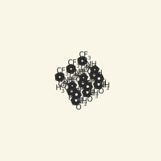 C[C@]12C=CC(=O)N[C@@H]1CC[C@@H]1[C@@H]2CC[C@]2(C)[C@@H](C(=O)Nc3cc(C(F)(F)F)ccc3C(F)(F)F)CC[C@@H]12.C[C@]12C=CC(=O)N[C@@H]1CC[C@@H]1[C@@H]2CC[C@]2(C)[C@@H](C(=O)Nc3cc(C(F)(F)F)ccc3C(F)(F)F)CC[C@@H]12.C[C@]12C=CC(=O)N[C@@H]1CC[C@@H]1[C@@H]2CC[C@]2(C)[C@@H](C(=O)Nc3cc(C(F)(F)F)ccc3C(F)(F)F)CC[C@@H]12